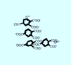 O=C([O-])c1ccc(C(=O)[O-])c(C(=O)[O-])c1.O=C([O-])c1ccc(C(=O)[O-])c(C(=O)[O-])c1.O=C([O-])c1ccc(C(=O)[O-])c(C(=O)[O-])c1.O=C([O-])c1ccc(C(=O)[O-])c(C(=O)[O-])c1.[Ti+4].[Ti+4].[Ti+4]